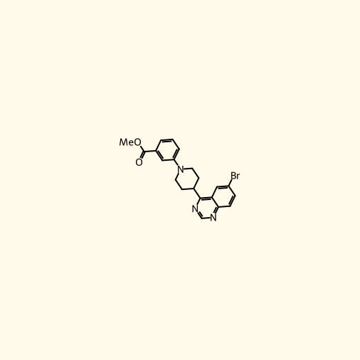 COC(=O)c1cccc(N2CCC(c3ncnc4ccc(Br)cc34)CC2)c1